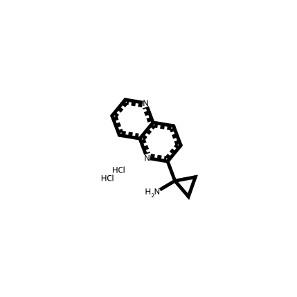 Cl.Cl.NC1(c2ccc3ncccc3n2)CC1